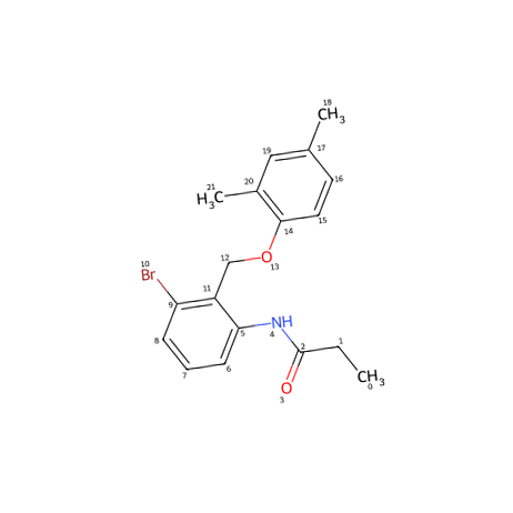 CCC(=O)Nc1cccc(Br)c1COc1ccc(C)cc1C